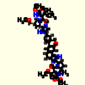 COC[C@H]1C[C@@H](c2ncc(-c3ccc4c(c3)COc3cc5c(ccc6nc(C7CC[C@H](C)N7C(=O)[C@@H](NC(=O)OC)[C@@H](C)OC)[nH]c65)cc3-4)[nH]2)N(C(=O)[C@@H](NC(=O)OC)C(C)C)C1